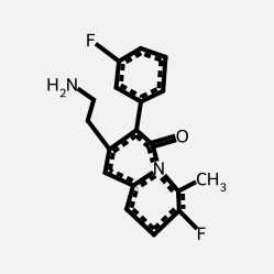 Cc1c(F)ccc2cc(CCN)c(-c3cccc(F)c3)c(=O)n12